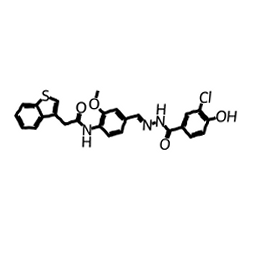 COc1cc(C=NNC(=O)c2ccc(O)c(Cl)c2)ccc1NC(=O)Cc1csc2ccccc12